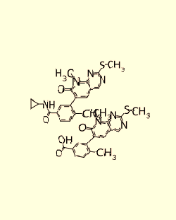 CSc1ncc2cc(-c3cc(C(=O)NC4CC4)ccc3C)c(=O)n(C)c2n1.CSc1ncc2cc(-c3cc(C(=O)O)ccc3C)c(=O)n(C)c2n1